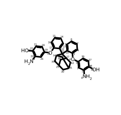 Nc1cc(Oc2ccccc2C2(c3ccccc3Oc3ccc(O)c(N)c3)C3CC4CC(C3)CC2C4)ccc1O